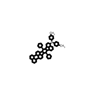 Cc1ccc(N(c2ccc(C)cc2)c2ccc3c4c(-c5ccccc5)c5c6ccc7c8cccc9cccc(c%10ccc(c5c(-c5ccccc5)c4c4cccc2c43)c6c%107)c98)cc1